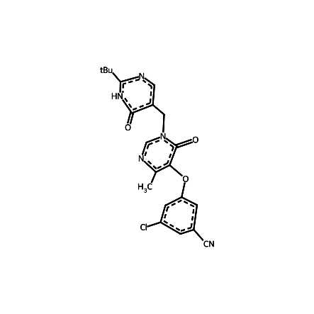 Cc1ncn(Cc2cnc(C(C)(C)C)[nH]c2=O)c(=O)c1Oc1cc(Cl)cc(C#N)c1